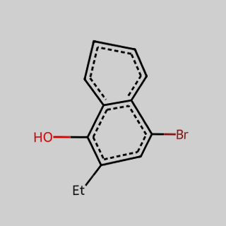 CCc1cc(Br)c2ccccc2c1O